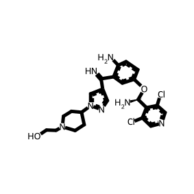 N=C(c1cnn(C2CCN(CCO)CC2)c1)c1cc(O[C@H](N)c2c(Cl)cncc2Cl)ccc1N